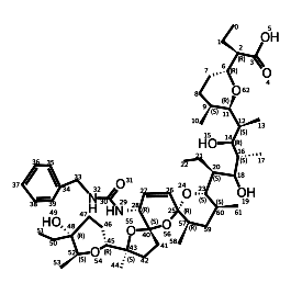 CC[C@@H](C(=O)O)[C@H]1CC[C@H](C)[C@H]([C@@H](C)[C@H](O)[C@H](C)C(O)[C@H](CC)[C@H]2O[C@]3(C=C[C@@H](NC(=O)NCc4ccccc4)[C@]4(CC[C@@](C)([C@H]5CC[C@](O)(CC)[C@H](C)O5)O4)O3)[C@H](C)C[C@@H]2C)O1